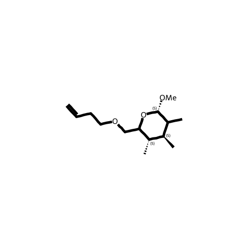 C=CCCOCC1O[C@H](OC)C(C)[C@@H](C)[C@@H]1C